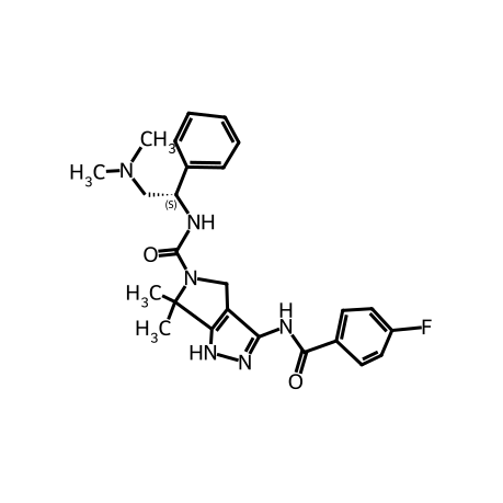 CN(C)C[C@@H](NC(=O)N1Cc2c(NC(=O)c3ccc(F)cc3)n[nH]c2C1(C)C)c1ccccc1